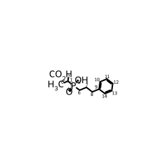 CC(C(=O)O)P(=O)(O)CCCc1ccccc1